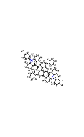 Cc1cc(C)c(N2c3ccccc3B3c4c(cccc42)-c2cc(-c4ccccc4)c4cc5c6c(cc(-c7ccccc7)c7cc3c2c4c76)-c2cccc3c2B5c2ccccc2N3c2c(C)cc(C)cc2C)c(C)c1